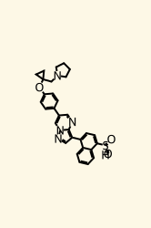 O=[SH](=O)c1ccc(-c2cnn3cc(-c4ccc(OC5(CN6CCCC6)CC5)cc4)cnc23)c2ccccc12